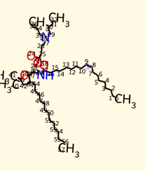 CCCCCCCC/C=C\CCCCCCCC(=O)N[C@@H](COC(=O)CCCN(CCCC)CCCC)[C@@H]1OC(C)(C)C[C@@H]1CCCCCCCCCCCCCC